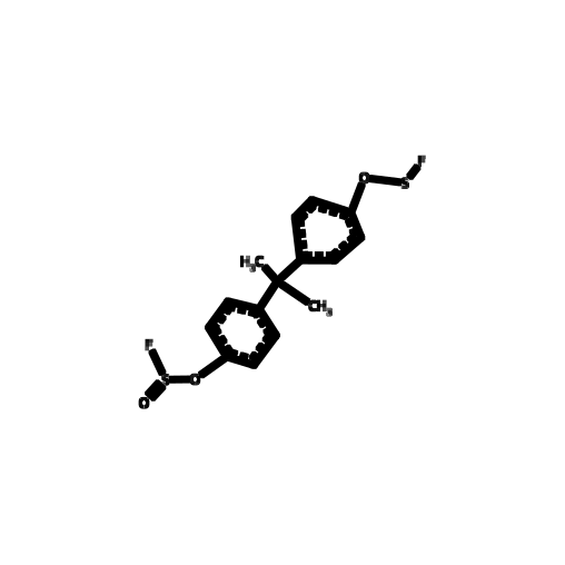 CC(C)(c1ccc(OSF)cc1)c1ccc(OS(=O)F)cc1